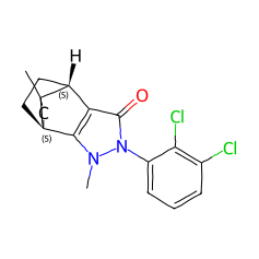 Cn1c2c(c(=O)n1-c1cccc(Cl)c1Cl)[C@H]1CC[C@@]23CC13C